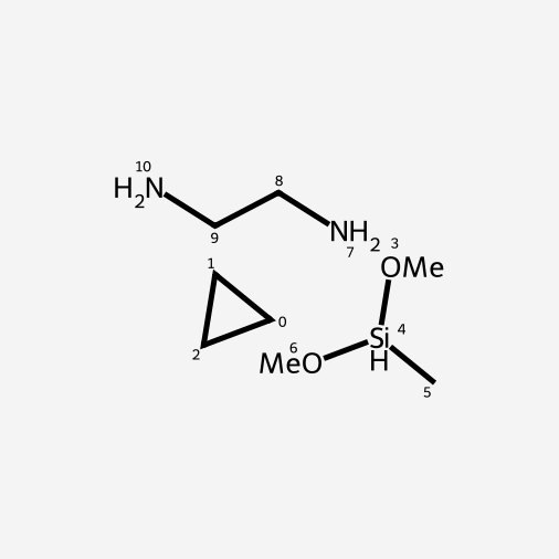 C1CC1.CO[SiH](C)OC.NCCN